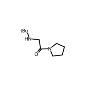 CC(C)(C)NCC(=O)N1CCCC1